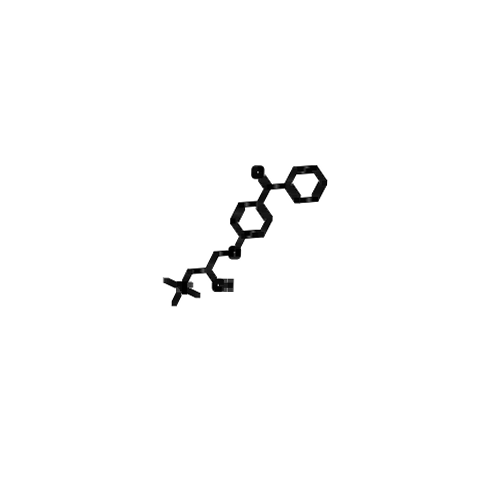 C[N+](C)(C)CC(O)COc1ccc(C(=O)c2ccccc2)cc1